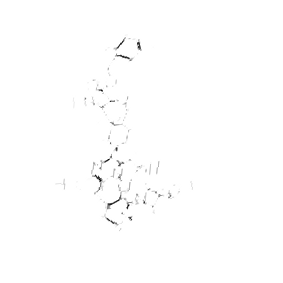 Cc1nc(N2CCC3COC(C(=O)OCc4ccccc4)[C@@H](N)CC3C2)c(CO)nc1Sc1ccnc(N2CC(O)C2)c1Cl